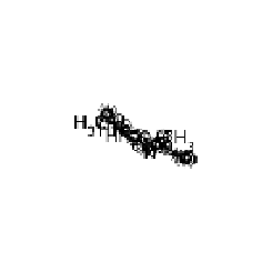 COc1cc2c(Oc3ccc(NC(=S)NC(=O)Cc4ccccc4C)cc3O)ccnc2cc1OCCCN1CCOCC1